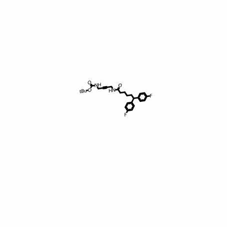 CC(C)(C)OC(=O)NCC#CCNC(=O)CCCCC(c1ccc(F)cc1)c1ccc(F)cc1